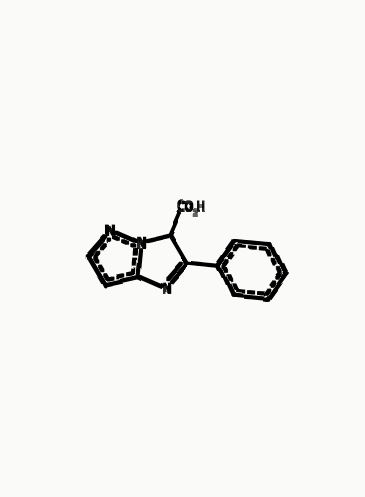 O=C(O)C1C(c2ccccc2)=Nc2ccnn21